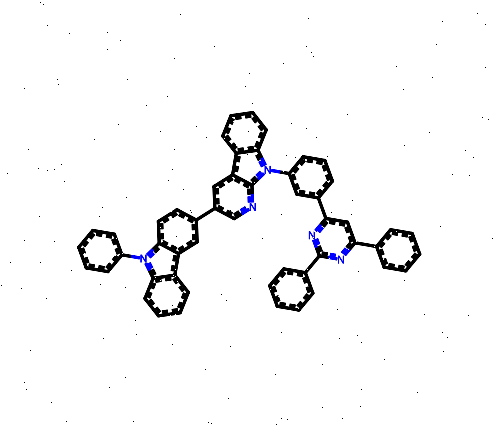 c1ccc(-c2cc(-c3cccc(-n4c5ccccc5c5cc(-c6ccc7c(c6)c6ccccc6n7-c6ccccc6)cnc54)c3)nc(-c3ccccc3)n2)cc1